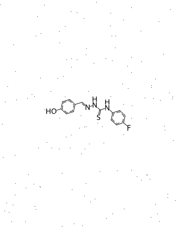 Oc1ccc(C=NNC(=S)Nc2ccc(F)cc2)cc1